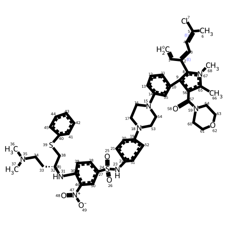 C=C/C(=C\C=C(/C)Cl)c1c(-c2cccc(N3CCN(c4ccc(NS(=O)(=O)c5ccc(N[C@H](CCN(C)C)CSc6ccccc6)c([N+](=O)[O-])c5)cc4)CC3)c2)c(C(=O)N2CCOCC2)c(C)n1C